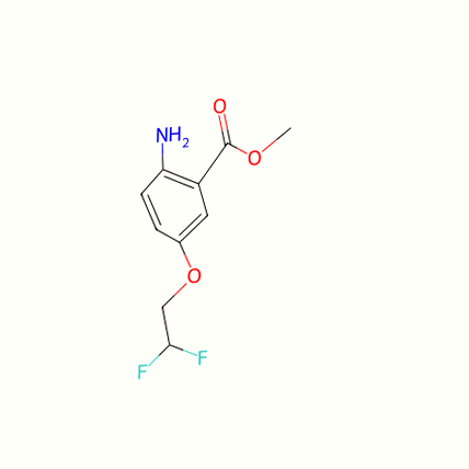 COC(=O)c1cc(OCC(F)F)ccc1N